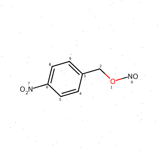 O=NOCc1ccc([N+](=O)[O-])cc1